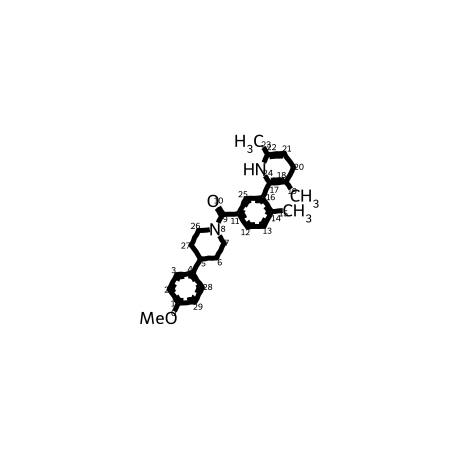 COc1ccc(C2CCN(C(=O)c3ccc(C)c(C4=C(C)CC=C(C)N4)c3)CC2)cc1